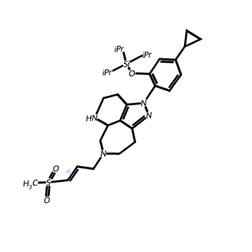 CC(C)[Si](Oc1cc(C2CC2)ccc1-n1nc2c3c1CCNC3CN(C/C=C/S(C)(=O)=O)CC2)(C(C)C)C(C)C